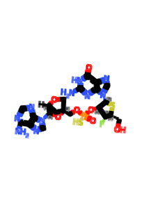 Nc1nc2c(ncn2[C@@H]2S[C@H](CO)[C@H](F)[C@H]2OP(=O)(S)OC[C@]23CO[C@H](C2)[C@H](n2cnc4c(N)ncnc42)O3)c(=O)[nH]1